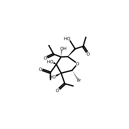 CC(=O)C(O)[C@H]1O[C@H](Br)[C@](O)(C(C)=O)[C@](O)(C(C)=O)[C@@]1(O)C(C)=O